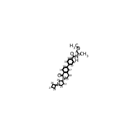 COC[C@H](C)NC(=O)c1ccc(-c2ccc3c(c2)CCN([C@@H]2CCN(C4CCC4)C2)C3=O)cc1